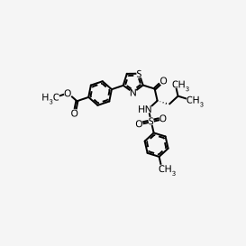 COC(=O)c1ccc(-c2csc(C(=O)[C@H](CC(C)C)NS(=O)(=O)c3ccc(C)cc3)n2)cc1